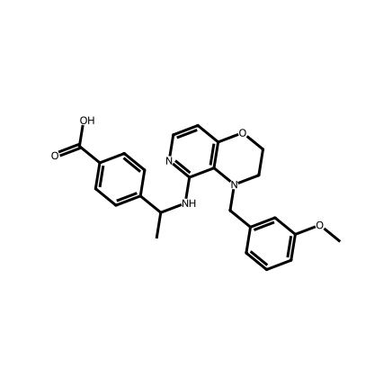 COc1cccc(CN2CCOc3ccnc(NC(C)c4ccc(C(=O)O)cc4)c32)c1